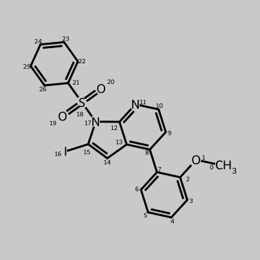 COc1ccccc1-c1ccnc2c1cc(I)n2S(=O)(=O)c1ccccc1